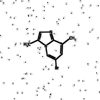 Cc1cc(Br)cn2c(C)cnc12